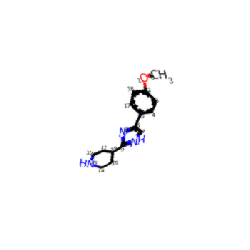 COc1ccc(-c2c[nH]c(C3CCNCC3)n2)cc1